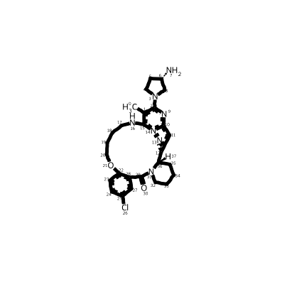 Cc1c(N2CC[C@H](N)C2)nc2cc3nn2c1NCCCCOc1ccc(Cl)cc1C(=O)N1CCCC[C@@H]31